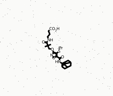 CC(C)Sc1c(OCC(C)(C)C(=O)NCCCC(=O)O)noc1C(=O)NC1C2CC3CC(C2)CC1C3